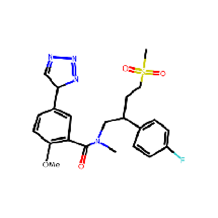 COc1ccc(C2C=NN=N2)cc1C(=O)N(C)CC(CCS(C)(=O)=O)c1ccc(F)cc1